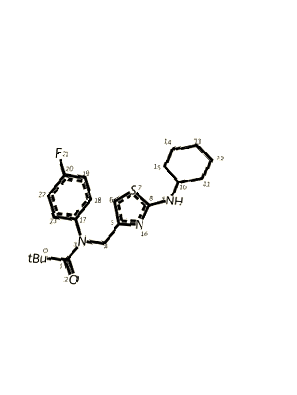 CC(C)(C)C(=O)N(Cc1csc(NC2CCCCC2)n1)c1ccc(F)cc1